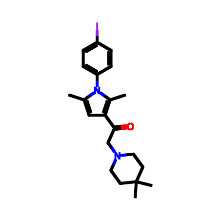 Cc1cc(C(=O)CN2CCC(C)(C)CC2)c(C)n1-c1ccc(I)cc1